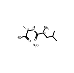 CC(C)C[C@H](N)C(=O)N[C@@H](C)C(=O)O.O